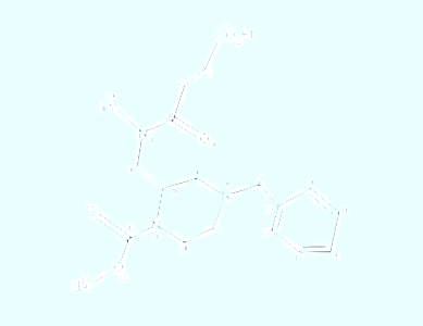 CCOC(=O)CCC(=O)N(C[C@@H]1CN(Cc2ccccc2)CCN1C(=O)OC(C)(C)C)C(C)C